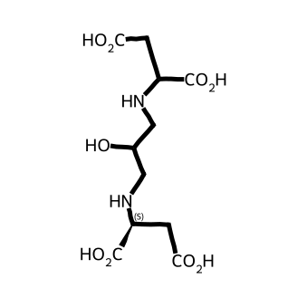 O=C(O)CC(NCC(O)CN[C@@H](CC(=O)O)C(=O)O)C(=O)O